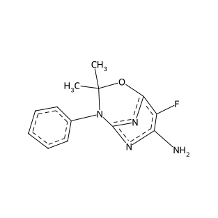 CC1(C)Oc2nc(nc(N)c2F)N1c1ccccc1